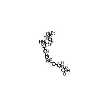 CCN(C)S(=O)(=O)Nc1ccc(F)c(C(=O)c2c[nH]c3ncc(-c4ccc(N5CCC(N(C)C(=O)CN6CCC(c7ccc(NC8CCC(=O)NC8=O)cn7)CC6)CC5)nc4)cc23)c1F